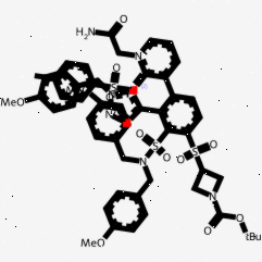 COc1ccc(CN(Cc2ccc(OC)cc2)S(=O)(=O)c2c(S(=O)(=O)C3CN(C(=O)OC(C)(C)C)C3)ccc(-c3cccn(CC(N)=O)/c3=N\S(=O)(=O)c3ccc(C)cc3)c2-c2nnn(Cc3ccc(OC)cc3)n2)cc1